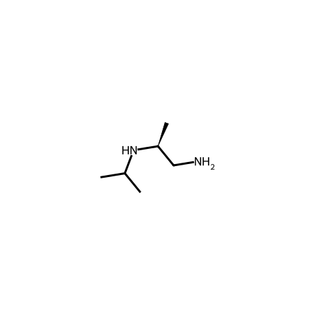 CC(C)N[C@@H](C)CN